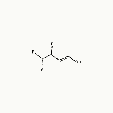 OC=CC(F)C(F)F